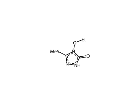 CCOn1c(SC)n[nH]c1=O